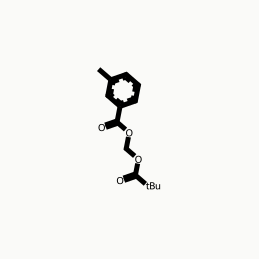 Cc1cccc(C(=O)OCOC(=O)C(C)(C)C)c1